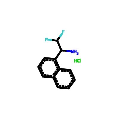 Cl.NC(c1cccc2ccccc12)C(F)F